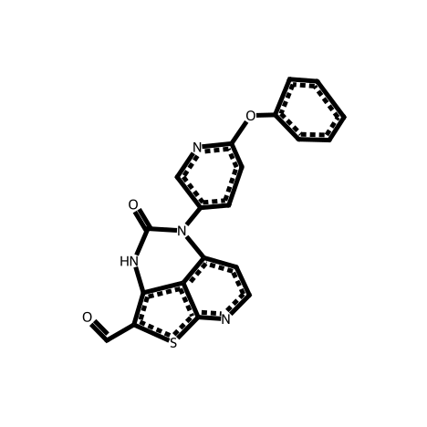 O=Cc1sc2nccc3c2c1NC(=O)N3c1ccc(Oc2ccccc2)nc1